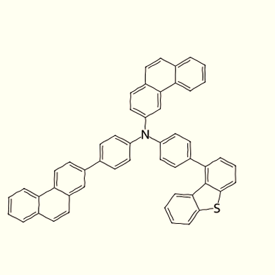 c1ccc2c(c1)ccc1cc(-c3ccc(N(c4ccc(-c5cccc6sc7ccccc7c56)cc4)c4ccc5ccc6ccccc6c5c4)cc3)ccc12